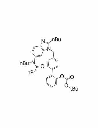 CCCCc1nc2ccc(N(CCCC)C(=O)CCC)cc2n1Cc1ccc(-c2ccccc2OC(=O)OC(C)(C)C)cc1